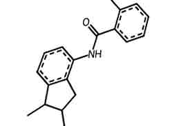 Cc1ccccc1C(=O)Nc1cccc2c1CC(C)C2C